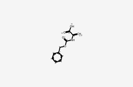 C=C(NC(=O)OCc1ccccc1)C(=O)O